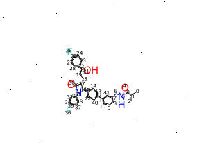 CC(C)C(=O)NCc1cccc(-c2ccc([C@@H]3[C@@H](CC[C@H](O)c4ccc(F)cc4)C(=O)N3c3ccc(F)cc3)cc2)c1